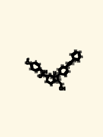 COc1ccc(NC(=O)N2CCN3[C@H](CO)[C@H](c4ccc(C#Cc5ccccc5)cc4)[C@@H]3C2)cc1